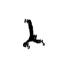 CCCCCCCCC=CCCCCCCCC(=O)N(C(=O)CCCCCCCC=CCCCCCCCC)[C@@H](CO)C(=O)C(O)COCCOCCOCCOCCOCCOCCOCCOCCOCCOCCOCCO